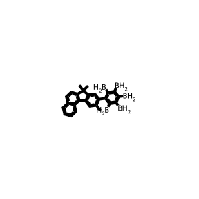 Bc1c(B)c(B)c(-c2cc3c(cc2C)-c2c(ccc4ccccc24)C3(C)C)c(B)c1B